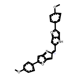 COc1ccc(-c2cc3c(o2)=C/C(=C/c2cc4oc(-c5ccc(OC)cc5)cc4[nH]2)N=3)cc1